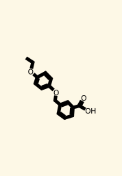 CCOc1ccc(OCc2cccc(C(=O)O)c2)cc1